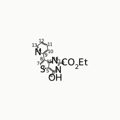 CCOC(=O)c1nc(O)c2scc(-c3ccccn3)c2n1